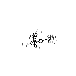 CC12CC3CC(C)(C1)CC(C14CC5(C)CC(C)(CC(c6ccc(C#C[Si](C)(C)C)cc6)(C5)C1)C4)(C3)C2